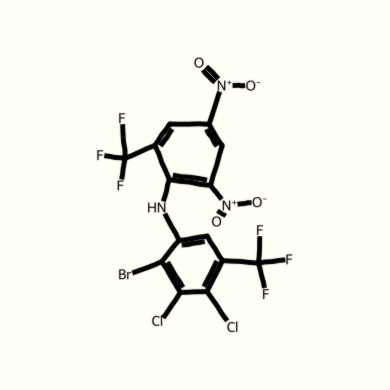 O=[N+]([O-])c1cc([N+](=O)[O-])c(Nc2cc(C(F)(F)F)c(Cl)c(Cl)c2Br)c(C(F)(F)F)c1